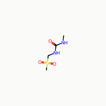 CNC(=O)NCS(C)(=O)=O